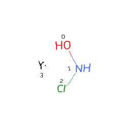 ONCl.[Y]